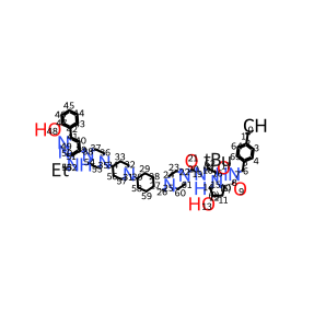 C#Cc1ccc(CNC(=O)[C@@H]2C[C@@H](O)CN2C(=O)[C@@H](NC(=O)N2CCN(C[C@H]3CC[C@H](N4CCC(N5CCN(c6cc(-c7ccccc7O)nnc6NCC)CC5)CC4)CC3)CC2)C(C)(C)C)cc1